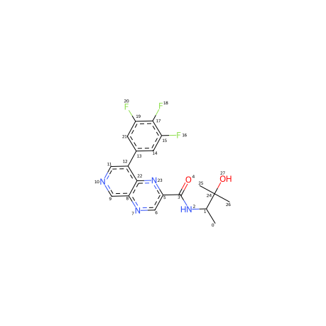 CC(NC(=O)c1cnc2cncc(-c3cc(F)c(F)c(F)c3)c2n1)C(C)(C)O